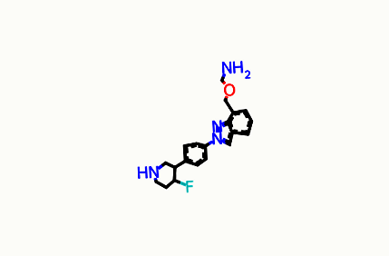 NCOCc1cccc2cn(-c3ccc(C4CNCCC4F)cc3)nc12